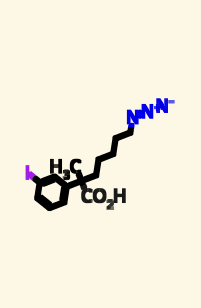 CC(CCCCCN=[N+]=[N-])(C(=O)O)c1cccc(I)c1